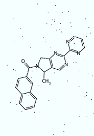 CC1c2cnc(-c3ncccn3)nc2CN1C(=O)c1ccc2ccccc2c1